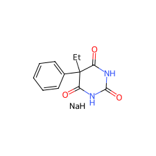 CCC1(c2ccccc2)C(=O)NC(=O)NC1=O.[NaH]